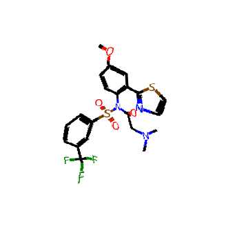 COc1ccc(N(C(=O)CN(C)C)S(=O)(=O)c2cccc(C(F)(F)F)c2)c(-c2nccs2)c1